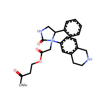 COC(=O)CCOC(=O)C[N+]1(c2ccc3c(c2)CCNC3)C(=O)NCC1c1ccccc1